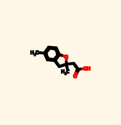 Cc1ccc2c(c1)CC(C)(CC(=O)O)O2